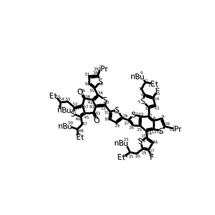 CCCCC(CC)Cc1sc(-c2c3cc(C(C)C)sc3c(-c3cc(F)c(CC(CC)CCCC)s3)c3cc(-c4ccc(-c5sc(-c6ccc(C(C)C)s6)c6c5C(=O)c5c(CC(CC)CCCC)sc(CC(CC)CCCC)c5C6=O)s4)sc23)cc1F